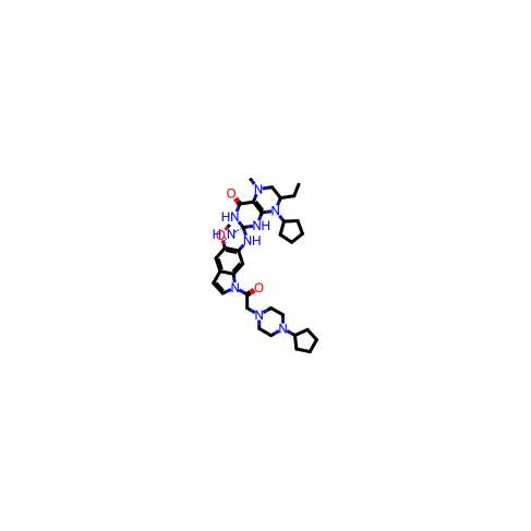 CCC1CN(C)C2=C(N[C@@](N)(Nc3cc4c(ccn4C(=O)CN4CCN(C5CCCC5)CC4)cc3OC)NC2=O)N1C1CCCC1